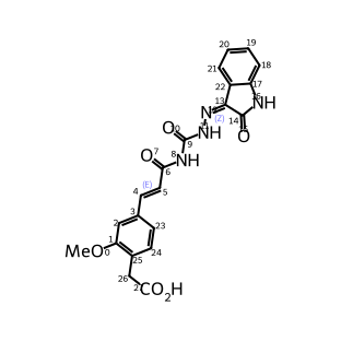 COc1cc(/C=C/C(=O)NC(=O)N/N=C2\C(=O)Nc3ccccc32)ccc1CC(=O)O